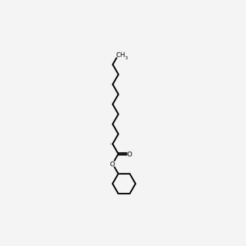 CCCCCCCCC[CH]C(=O)OC1CCCCC1